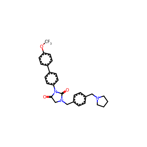 O=C1CN(Cc2ccc(CN3CCCC3)cc2)C(=O)N1c1ccc(-c2ccc(OC(F)(F)F)cc2)cc1